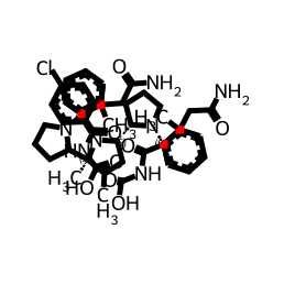 CC1C[C@@H](C2CCCN2[C@@]2(C(=O)NC(=O)O)c3ccc(cc3)C2(C)CC(N)=O)N(c2ccc(Cl)cc2)[C@]1(C)C1CCCN1[C@@]1(C(=O)NC(=O)O)c2ccc(cc2)C1(C)CC(N)=O